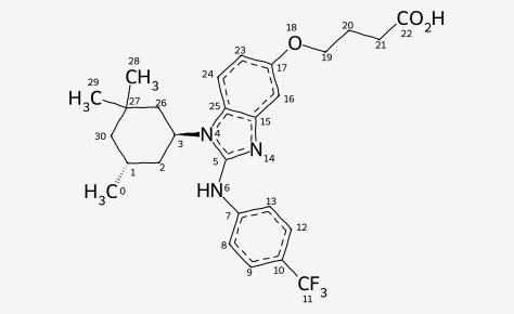 C[C@H]1C[C@H](n2c(Nc3ccc(C(F)(F)F)cc3)nc3cc(OCCCC(=O)O)ccc32)CC(C)(C)C1